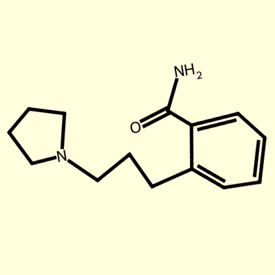 NC(=O)c1ccccc1CCCN1CCCC1